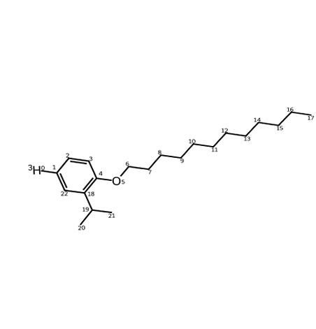 [3H]c1ccc(OCCCCCCCCCCCC)c(C(C)C)c1